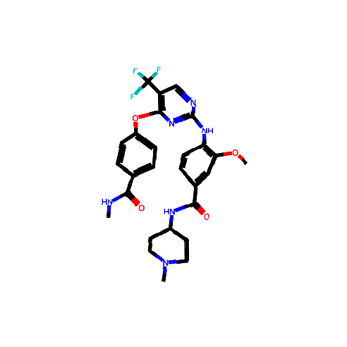 CNC(=O)c1ccc(Oc2nc(Nc3ccc(C(=O)NC4CCN(C)CC4)cc3OC)ncc2C(F)(F)F)cc1